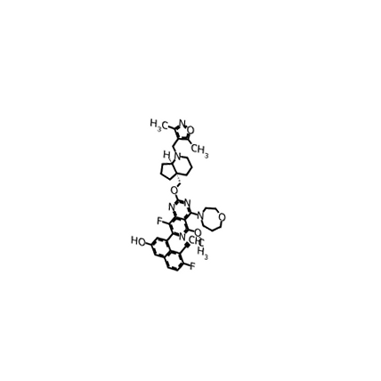 C#Cc1c(F)ccc2cc(O)cc(-c3nc(OC)c4c(N5CCCOCC5)nc(OC[C@]56CCC[C@H]5N(Cc5c(C)noc5C)CCC6)nc4c3F)c12